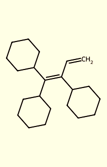 C=CC(=C(C1CCCCC1)C1CCCCC1)C1CCCCC1